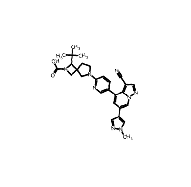 Cn1cc(-c2cc(-c3ccc(N4CCC5(C4)CN(C(=O)O)C5C(C)(C)C)nc3)c3c(C#N)cnn3c2)cn1